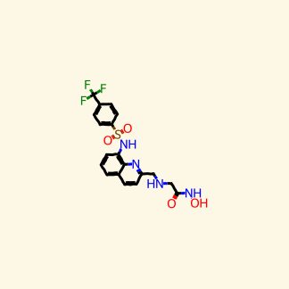 O=C(CNCc1ccc2cccc(NS(=O)(=O)c3ccc(C(F)(F)F)cc3)c2n1)NO